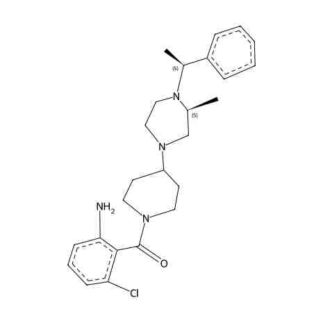 C[C@H]1CN(C2CCN(C(=O)c3c(N)cccc3Cl)CC2)CCN1[C@@H](C)c1ccccc1